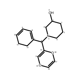 OC1CCCN(C(C2=CC=CCC2)C2=COC=CO2)C1